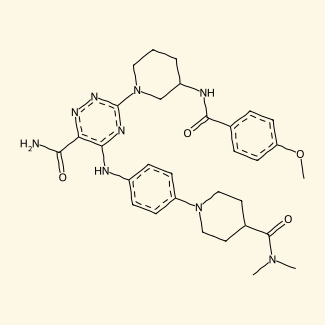 COc1ccc(C(=O)NC2CCCN(c3nnc(C(N)=O)c(Nc4ccc(N5CCC(C(=O)N(C)C)CC5)cc4)n3)C2)cc1